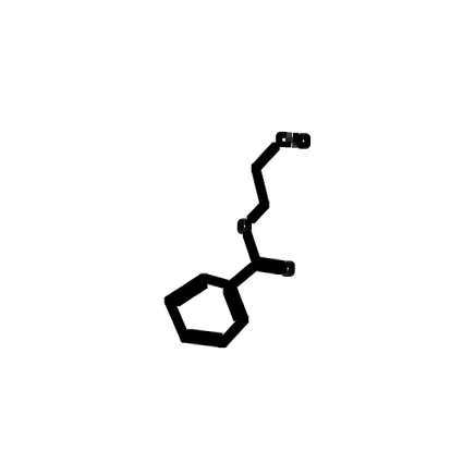 O=CCCOC(=O)c1ccccc1